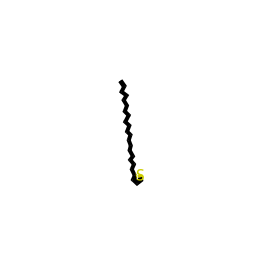 C=CCCCCCCCCCCCCCCCCCc1cccs1